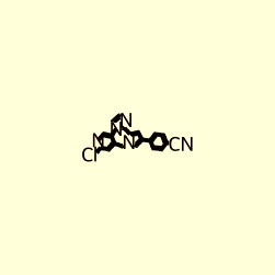 N#Cc1ccc(-c2cc3n(c2)Cc2cc(Cl)ncc2-n2ccnc2-3)cc1